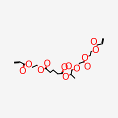 C=CC(=O)OCCOC(=O)CCCC(=O)OC(C)C(=O)OCC(=O)OCCOC(=O)C=C